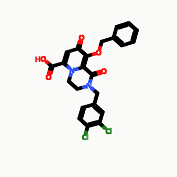 O=C(O)c1cc(=O)c(OCc2ccccc2)c2n1CCN(Cc1ccc(Cl)c(Cl)c1)C2=O